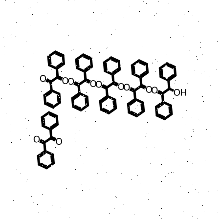 O=C(C(=O)c1ccccc1)c1ccccc1.O=C(C(=O)c1ccccc1)c1ccccc1.O=C(C(=O)c1ccccc1)c1ccccc1.O=C(C(=O)c1ccccc1)c1ccccc1.O=C(C(=O)c1ccccc1)c1ccccc1.O=C(c1ccccc1)C(O)c1ccccc1